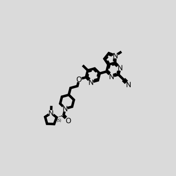 Cc1cc(-c2nc(C#N)nc3c2ccn3C)cnc1OCCC1CCN(C(=O)[C@@H]2CCCN2C)CC1